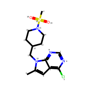 Cc1cc2c(Cl)ncnc2n1CC1CCN(S(C)(=O)=O)CC1